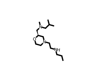 CCCNCCN1CCO[C@@H](CN(C)CC(C)C)C1